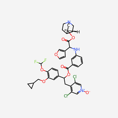 O=C(OC(Cc1c(Cl)c[n+]([O-])cc1Cl)c1ccc(OC(F)F)c(OCC2CC2)c1)c1cccc(NC(C(=O)O[C@H]2CN3CCC2CC3)c2ccoc2)c1